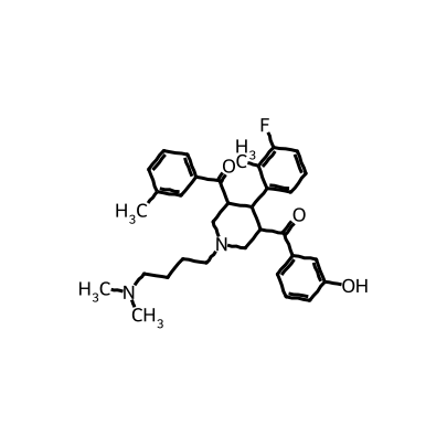 Cc1cccc(C(=O)C2CN(CCCCN(C)C)CC(C(=O)c3cccc(O)c3)C2c2cccc(F)c2C)c1